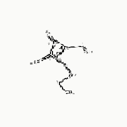 C=Cc1c(OCC)c(=O)c1=O